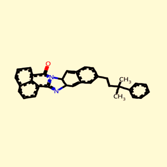 CC(C)(CCc1ccc2c(c1)=CC1N=c3c4cccc5cccc(c(=O)n3C1C=2)c54)c1ccccc1